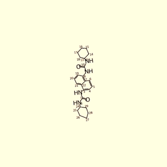 O=C(Nc1cccc2c(NC(=O)NC3CCCCC3)cccc12)NC1CCCCC1